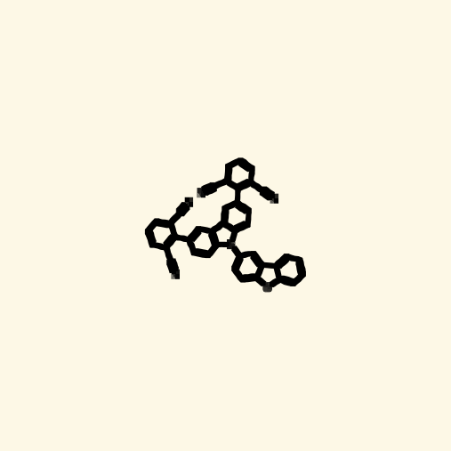 N#Cc1cccc(C#N)c1-c1ccc2c(c1)c1cc(-c3c(C#N)cccc3C#N)ccc1n2-c1ccc2oc3ccccc3c2c1